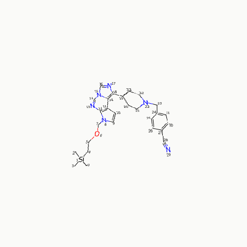 C[Si](C)(C)CCOCn1ccc2c1ncn1cnc(C3CCN(Cc4ccc(C#N)cc4)CC3)c21